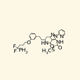 CSCC(=O)Nc1c2c(nn1-c1ccccn1)CC(CCc1cccc(OCCCC(F)(F)P)c1)NC2=O